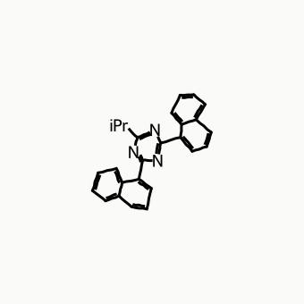 CC(C)c1nc(-c2cccc3ccccc23)nc(-c2cccc3ccccc23)n1